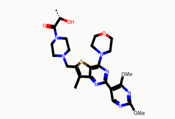 COc1ncc(-c2nc(N3CCOCC3)c3sc(CN4CCN(C(=O)[C@H](C)O)CC4)c(C)c3n2)c(OC)n1